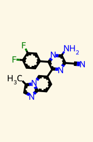 Cc1cnc2ccc(-c3nc(C#N)c(N)nc3-c3ccc(F)c(F)c3)cn12